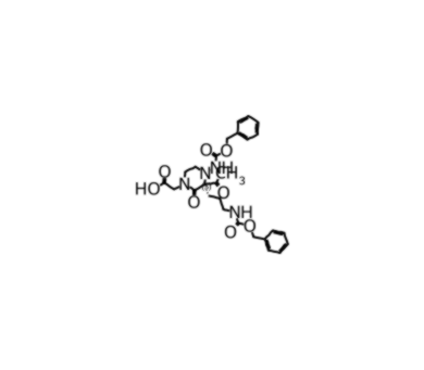 CC(=O)[C@@]1(CCCNC(=O)OCc2ccccc2)C(=O)N(CC(=O)O)CCN1NC(=O)OCc1ccccc1